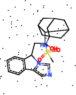 CS(=O)(=O)NC12CC3CC(C1)C(C(O)CC1c4ccccc4-c4cncn41)C(C3)C2